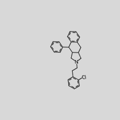 Clc1ccccc1CCN1CC2Cc3ccccc3C(c3ccccc3)C2C1